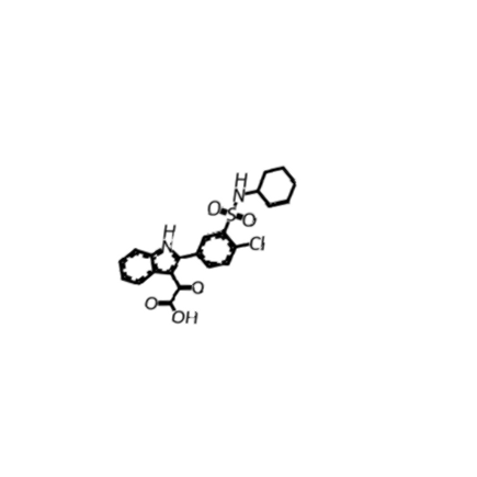 O=C(O)C(=O)c1c(-c2ccc(Cl)c(S(=O)(=O)NC3CCCCC3)c2)[nH]c2ccccc12